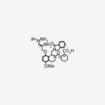 COc1ccc(OC/C(N)=C/N(N)C(C)C)c2c1CCN(C(=O)[C@@H]1CCCC[C@@H]1C(=O)O)C2CN1Cc2ccccc2C1=O